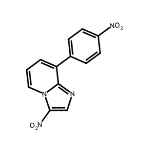 O=[N+]([O-])c1ccc(-c2cccn3c([N+](=O)[O-])cnc23)cc1